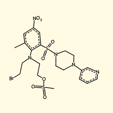 Cc1cc([N+](=O)[O-])cc(S(=O)(=O)N2CCN(c3cccnc3)CC2)c1N(CCBr)CCOS(C)(=O)=O